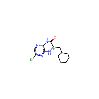 O=C1Nc2ncc(Br)nc2N[C@@H]1CC1CCCCC1